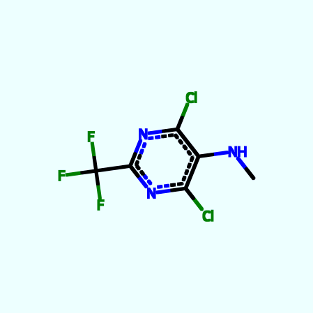 CNc1c(Cl)nc(C(F)(F)F)nc1Cl